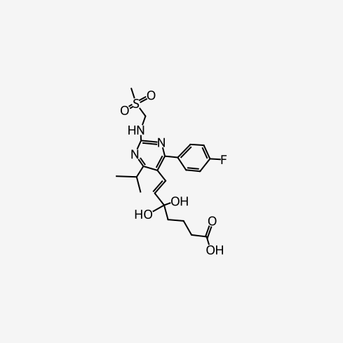 CC(C)c1nc(NCS(C)(=O)=O)nc(-c2ccc(F)cc2)c1C=CC(O)(O)CCCC(=O)O